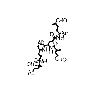 CC(=O)CC[C@](C)(C=O)NC(=O)CCC(CC(C)=O)NC(=O)C(CCC(=O)NC(CCC(C)C=O)C(C)=O)NC(=O)C(C)CCC=O